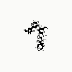 CCc1nc(NC(=O)NC(=O)C2(C)CCOCC2)ccc1Oc1ccnc(-c2cnn(C)c2)c1